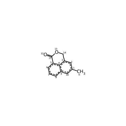 Cc1cc2c3c(cccc3c1)C(=O)OC2